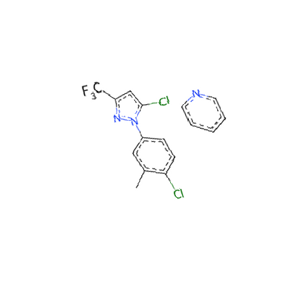 Cc1cc(-n2nc(C(F)(F)F)cc2Cl)ccc1Cl.c1ccncc1